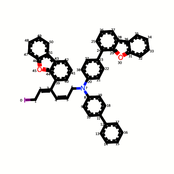 IC/C=C(\C=C/CN(c1ccc(-c2ccccc2)cc1)c1ccc(-c2cccc3c2oc2ccccc23)cc1)c1cccc2c1oc1ccccc12